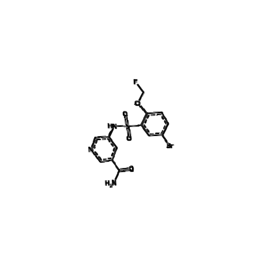 NC(=O)c1cncc(NS(=O)(=O)c2cc(Br)ccc2OCF)c1